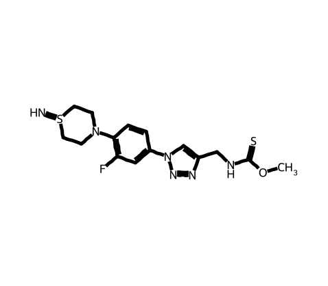 COC(=S)NCc1cn(-c2ccc(N3CCS(=N)CC3)c(F)c2)nn1